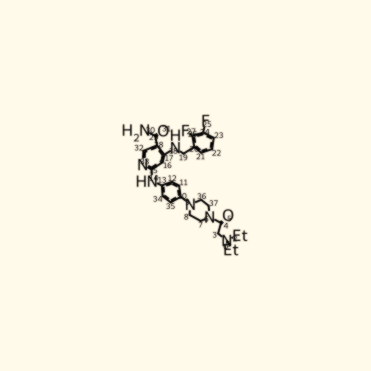 CCN(CC)CC(=O)N1CCN(c2ccc(Nc3cc(NCc4cccc(F)c4F)c(C(N)=O)cn3)cc2)CC1